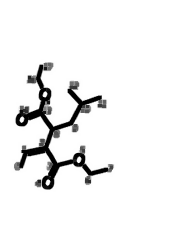 CC=C(C(=O)OCC)C(CC(C)C)C(=O)OCC